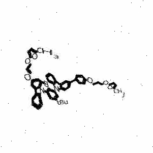 Cc1ccc(OCCCOc2ccc(-c3ccc4c(c3)c3cccc5c3n4-c3cc(C(C)(C)C)cc4c3B5c3cc(OCCCOc5ccc(C)o5)cc5c6ccccc6n-4c35)cc2)o1